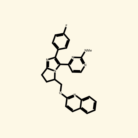 CNc1nccc(-c2c(-c3ccc(F)cc3)nc3n2C(COc2ccc4ccccc4n2)CC3)n1